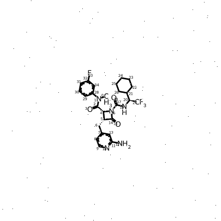 CN(C(=O)[C@@H]1[C@@H](Cc2ccnc(N)c2)C(=O)N1C(=O)N[C@@H](C1CCCCC1)C(F)(F)F)c1cccc(F)c1